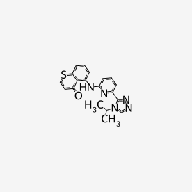 CC(C)n1cnnc1-c1cccc(Nc2cccc3sccc(=O)c23)n1